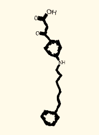 O=C(O)CC(=O)c1ccc(NCCCCCCc2ccccc2)cc1